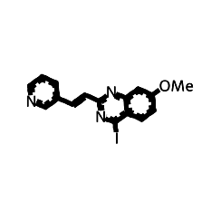 COc1ccc2c(I)nc(/C=C/c3cccnc3)nc2c1